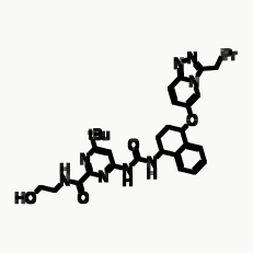 CC(C)Cc1nnc2ccc(OC3CCC(NC(=O)Nc4cc(C(C)(C)C)nc(C(=O)NCCO)n4)c4ccccc43)cn12